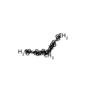 C=CC(=O)OCCCCOC(=O)Oc1ccc(COOc2ccc(OC(=O)c3ccc(OC(=O)OCCCCOC(=O)C=C)cc3)c(C)c2)cc1